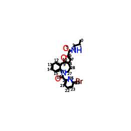 CCCNC(=O)c1cc2c(o1)-c1ccccc1N(C(=O)c1cccc(Br)n1)CC2